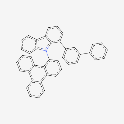 c1ccc(-c2cccc(-c3cccc4c5ccccc5n(-c5cccc6c7ccccc7c7ccccc7c56)c34)c2)cc1